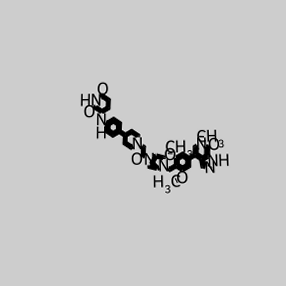 COc1cc(-c2cn(C)c(=O)c3[nH]ncc23)cc(OC)c1CN1CC2CC1CN2C(=O)CN1CCC(c2ccc(NC3CCC(=O)NC3=O)cc2)CC1